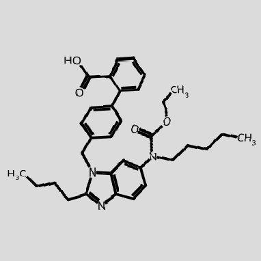 CCCCCN(C(=O)OCC)c1ccc2nc(CCCC)n(Cc3ccc(-c4ccccc4C(=O)O)cc3)c2c1